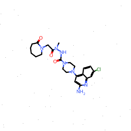 CN(NC(=O)N1CCN(c2cc(N)nc3cc(Cl)ccc23)CC1)C(=O)CN1CCCCCC1=O